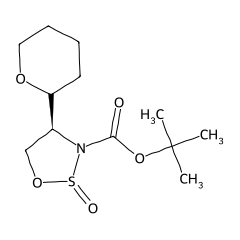 CC(C)(C)OC(=O)N1[C@H](C2CCCCO2)COS1=O